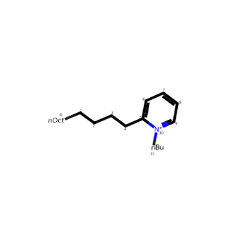 CCCCCCCCCCCCc1cccc[n+]1CCCC